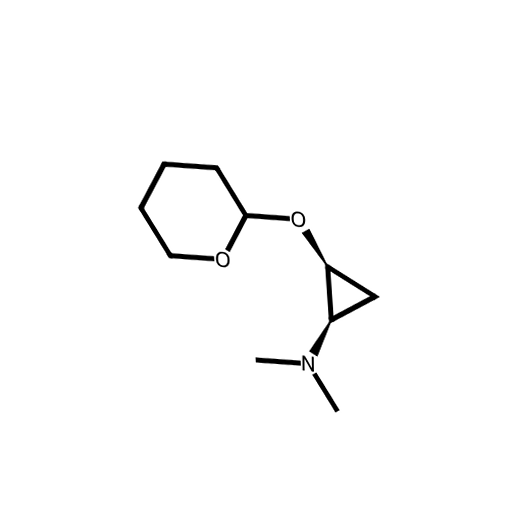 CN(C)[C@@H]1C[C@@H]1OC1CCCCO1